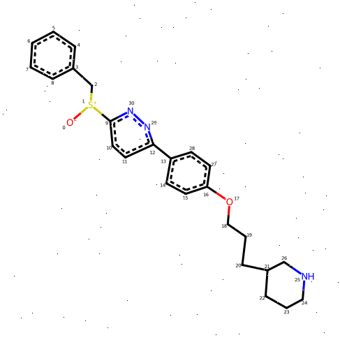 [O-][S+](Cc1ccccc1)c1ccc(-c2ccc(OCCCC3CCCNC3)cc2)nn1